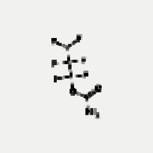 NC(=O)OC(F)(F)C(F)(F)C(F)F